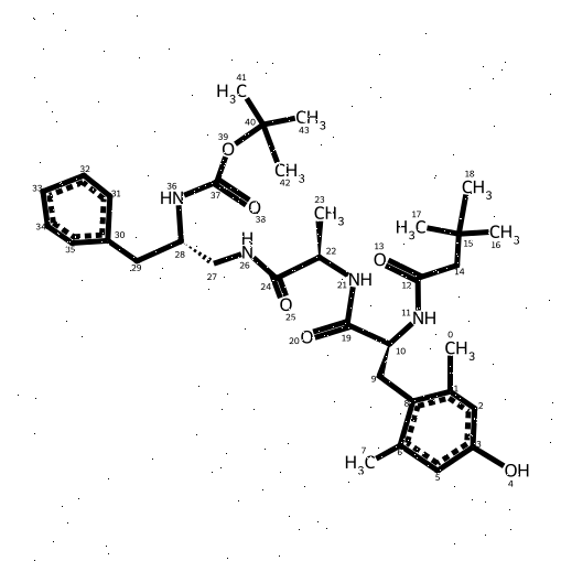 Cc1cc(O)cc(C)c1C[C@H](NC(=O)CC(C)(C)C)C(=O)N[C@H](C)C(=O)NC[C@H](Cc1ccccc1)NC(=O)OC(C)(C)C